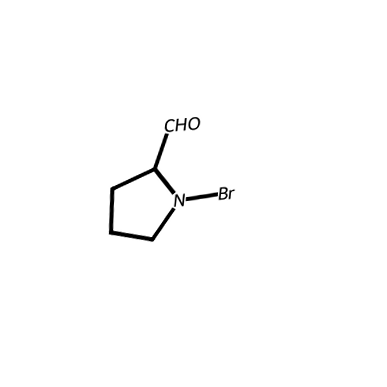 O=CC1CCCN1Br